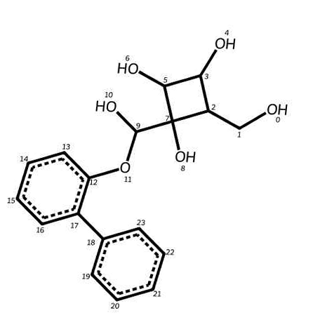 OCC1C(O)C(O)C1(O)C(O)Oc1ccccc1-c1ccccc1